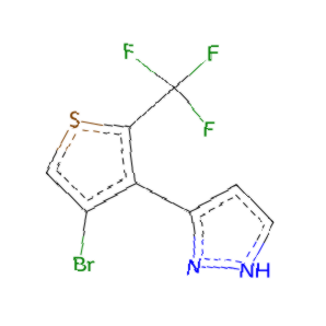 FC(F)(F)c1scc(Br)c1-c1cc[nH]n1